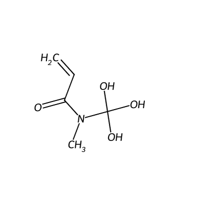 C=CC(=O)N(C)C(O)(O)O